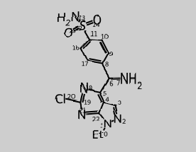 CCn1ncc2c(C(N)c3ccc(S(N)(=O)=O)cc3)nc(Cl)nc21